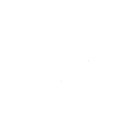 CCC(O)NC1CCN(C(C)(C)C)CC1